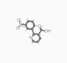 O=C(O)c1cccnc1-c1cccc([N+](=O)[O-])c1